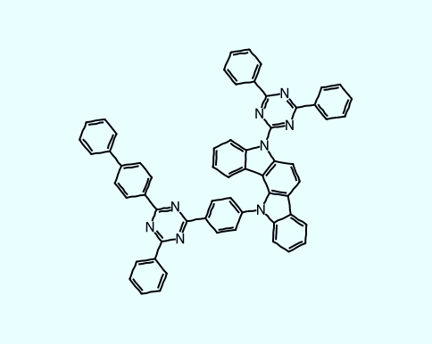 c1ccc(-c2ccc(-c3nc(-c4ccccc4)nc(-c4ccc(-n5c6ccccc6c6ccc7c(c8ccccc8n7-c7nc(-c8ccccc8)nc(-c8ccccc8)n7)c65)cc4)n3)cc2)cc1